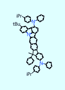 CC(C)c1ccc(N(c2ccccc2)c2ccc3c(c2)C(C)(c2ccccc2)c2cc4cc5c(cc4cc2-3)c2ccc(N(c3ccccc3)c3ccc(C(C)C)cc3)c3c4cc(C(C)(C)C)ccc4n5c23)cc1